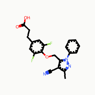 Cc1nn(-c2ccccc2)c(COc2c(F)cc(CCC(=O)O)cc2F)c1C#N